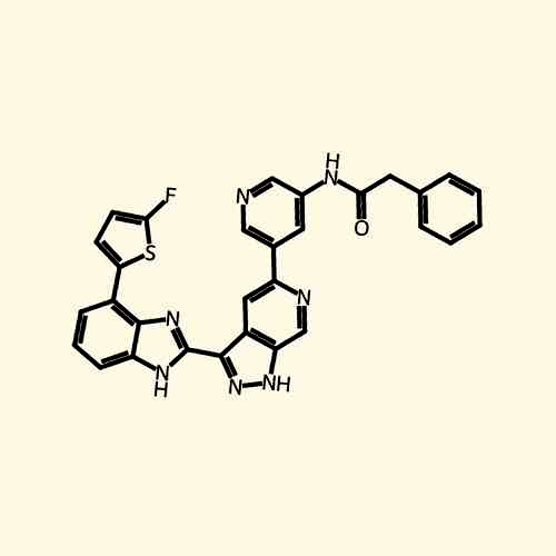 O=C(Cc1ccccc1)Nc1cncc(-c2cc3c(-c4nc5c(-c6ccc(F)s6)cccc5[nH]4)n[nH]c3cn2)c1